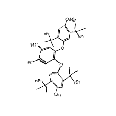 CCCC(C)(C)c1cc(Oc2cc(C#N)c(C#N)cc2Oc2cc(C(C)(C)CCC)c(OC)cc2C(C)(C)CCC)c(C(C)(C)CCC)cc1OC